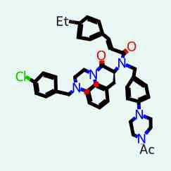 CCc1ccc(/C=C/C(=O)N(Cc2ccc(N3CCN(C(C)=O)CC3)cc2)[C@@H](Cc2ccccc2)C(=O)N2CCN(Cc3ccc(Cl)cc3)CC2)cc1